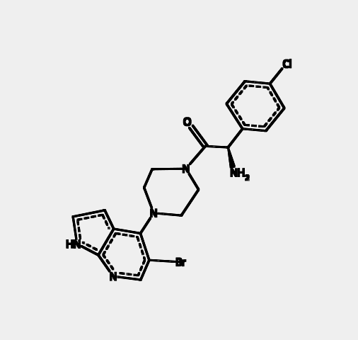 N[C@@H](C(=O)N1CCN(c2c(Br)cnc3[nH]ccc23)CC1)c1ccc(Cl)cc1